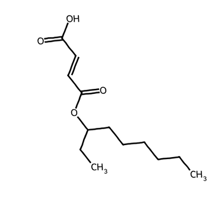 CCCCCCC(CC)OC(=O)/C=C/C(=O)O